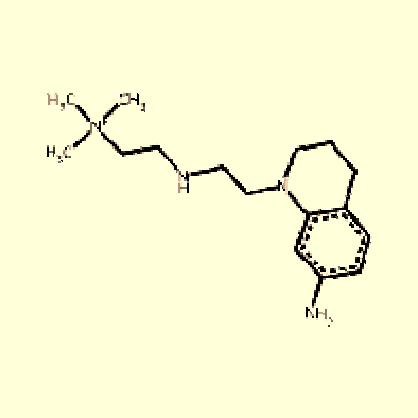 C[N+](C)(C)CCNCCN1CCCc2ccc(N)cc21